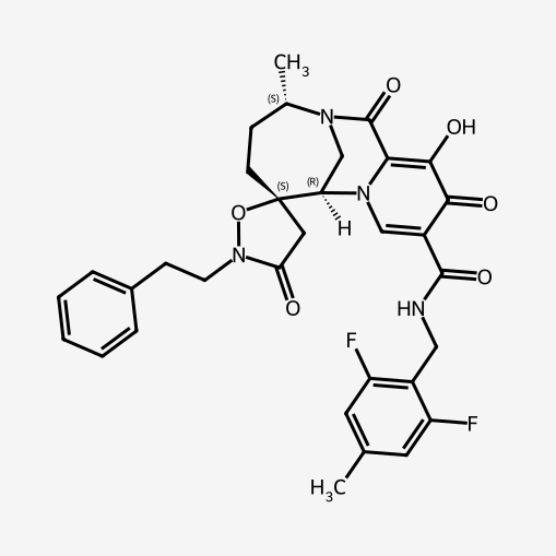 Cc1cc(F)c(CNC(=O)c2cn3c(c(O)c2=O)C(=O)N2C[C@@H]3[C@]3(CC[C@@H]2C)CC(=O)N(CCc2ccccc2)O3)c(F)c1